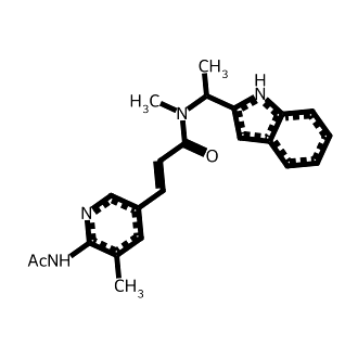 CC(=O)Nc1ncc(/C=C/C(=O)N(C)C(C)c2cc3ccccc3[nH]2)cc1C